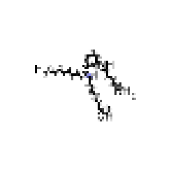 CCCCCCCC/C=C\CCCCCCCC(=O)O.NCCCCCCNC1CCCCC(=O)N1